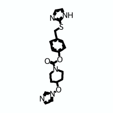 O=C(Oc1ccc(CSc2ncc[nH]2)cc1)N1CCC(On2ccnc2)CC1